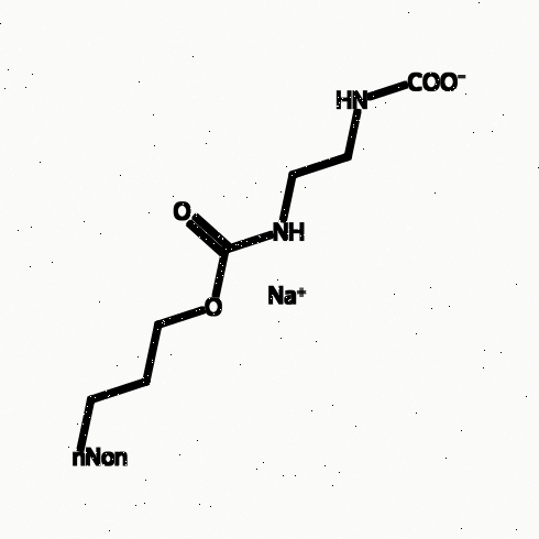 CCCCCCCCCCCCOC(=O)NCCNC(=O)[O-].[Na+]